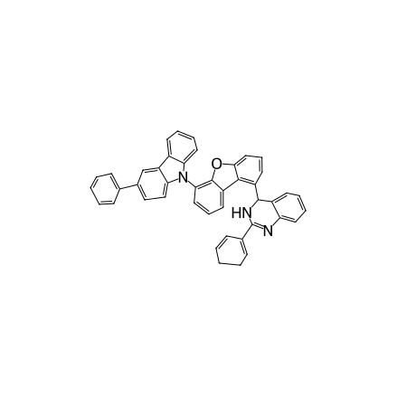 C1=CC(C2=Nc3ccccc3C(c3cccc4oc5c(-n6c7ccccc7c7cc(-c8ccccc8)ccc76)cccc5c34)N2)=CCC1